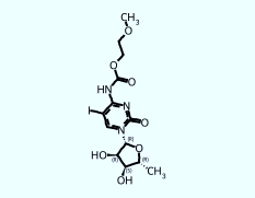 COCCOC(=O)Nc1nc(=O)n([C@@H]2O[C@H](C)[C@@H](O)[C@H]2O)cc1I